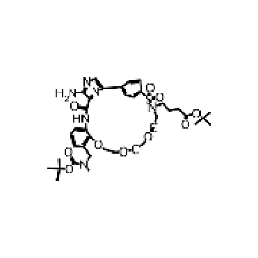 CN(Cc1cccc2c1OCCOCCOCCN(CCCC(=O)OC(C)(C)C)S(=O)(=O)c1ccc(cc1)-c1cnc(N)c(n1)C(=O)N2)C(=O)OC(C)(C)C